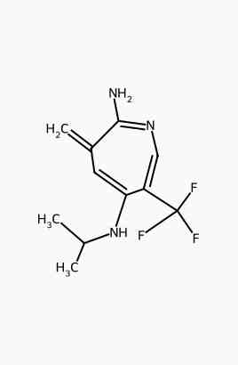 C=C1C=C(NC(C)C)C(C(F)(F)F)=CN=C1N